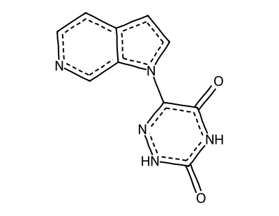 O=c1[nH]nc(-n2ccc3ccncc32)c(=O)[nH]1